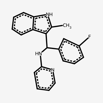 Cc1[nH]c2ccccc2c1C(Nc1ccccn1)c1cccc(F)c1